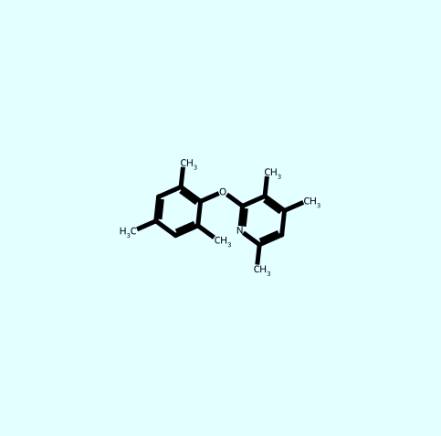 Cc1cc(C)c(Oc2nc(C)cc(C)c2C)c(C)c1